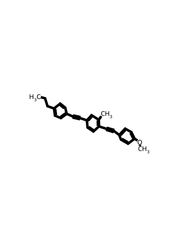 CCCc1ccc(C#Cc2ccc(C#Cc3ccc(OC)cc3)c(C)c2)cc1